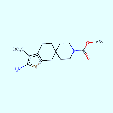 CCCCOC(=O)N1CCC2(CCc3c(sc(N)c3C(=O)OCC)C2)CC1